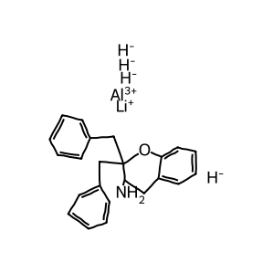 NC1Cc2ccccc2OC1(Cc1ccccc1)Cc1ccccc1.[Al+3].[H-].[H-].[H-].[H-].[Li+]